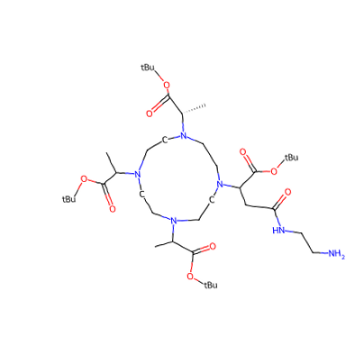 CC(C(=O)OC(C)(C)C)N1CCN(C(C)C(=O)OC(C)(C)C)CCN([C@@H](C)C(=O)OC(C)(C)C)CCN(C(CC(=O)NCCN)C(=O)OC(C)(C)C)CC1